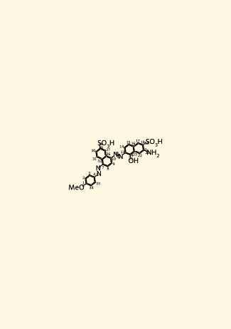 COc1ccc(N=Nc2ccc(N=Nc3ccc4cc(S(=O)(=O)O)c(N)cc4c3O)c3cc(S(=O)(=O)O)ccc23)cc1